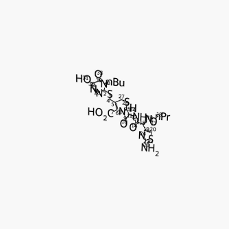 CCCCn1c(SCC2=C(C(=O)O)N3C(=O)C(NC(=O)C(=NOCCC)c4csc(N)n4)[C@@H]3SC2)nnc(O)c1=O